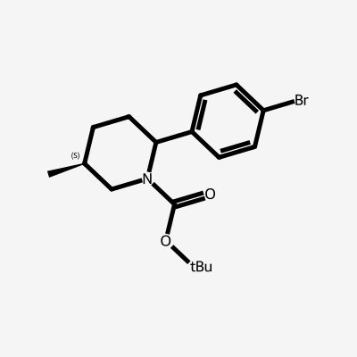 C[C@H]1CCC(c2ccc(Br)cc2)N(C(=O)OC(C)(C)C)C1